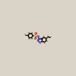 C=Cc1ccc2nnn(OS(=O)(=O)c3ccc(C)cc3)c2c1